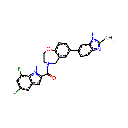 Cc1nc2ccc(-c3ccc4c(c3)CN(C(=O)c3cc5cc(F)cc(F)c5[nH]3)CCO4)cc2[nH]1